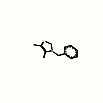 CC1=C(C)N(Cc2ccccc2)CS1